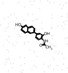 CC(=O)Nc1ccc(-c2ccc3cc(O)ccc3c2)cc1O